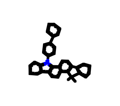 CC1(C)c2ccccc2-c2ccc3c(ccc4c5ccccc5n(-c5ccc(-c6ccccc6)cc5)c34)c21